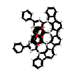 C1=CCC(c2nc(-c3ccccc3)nc(-n3c4ccccc4c4ccc5c6ccc7c8ccc9c%10ccccc%10n(-c%10nc(-c%11ccccc%11)nc(-c%11ccccc%11)n%10)c9c8n(-c8ccccc8)c7c6n(-c6ccccc6)c5c43)n2)C=C1